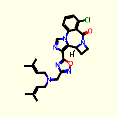 CC(C)=CCN(CC=C(C)C)Cc1noc(-c2ncn3c2[C@@H]2CCN2C(=O)c2c(Cl)cccc2-3)n1